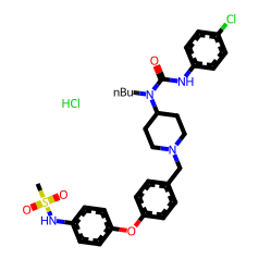 CCCCN(C(=O)Nc1ccc(Cl)cc1)C1CCN(Cc2ccc(Oc3ccc(NS(C)(=O)=O)cc3)cc2)CC1.Cl